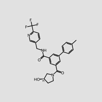 Cc1ccc(-c2cc(C(=O)NCc3ccc(C(F)(F)F)nc3)cc(C(=O)N3CC[C@@H](O)C3)c2)cc1